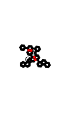 c1ccc(-c2ccc(-c3ccccc3N(c3ccc(-c4cccc5c4ccc4ccccc45)cc3)c3ccccc3-c3cccc4c3oc3c5ccccc5ccc43)cc2)cc1